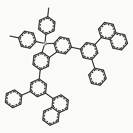 Cc1ccc([Si]2(c3ccc(C)cc3)c3ccc(-c4cc(-c5ccccc5)cc(-c5cccc6ccccc56)c4)cc3-c3cc(-c4cc(-c5ccccc5)cc(-c5cccc6ccccc56)c4)ccc32)cc1